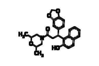 CC1CN(C(=O)CC(c2ccc3c(c2)OCO3)c2c(O)ccc3ccccc23)CC(C)O1